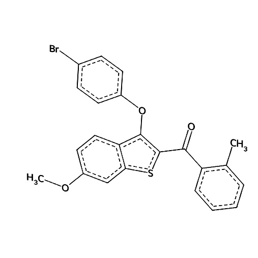 COc1ccc2c(Oc3ccc(Br)cc3)c(C(=O)c3ccccc3C)sc2c1